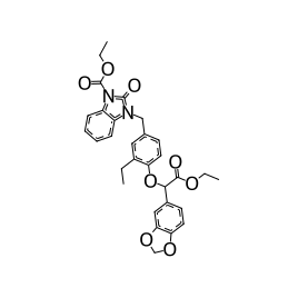 CCOC(=O)C(Oc1ccc(Cn2c(=O)n(C(=O)OCC)c3ccccc32)cc1CC)c1ccc2c(c1)OCO2